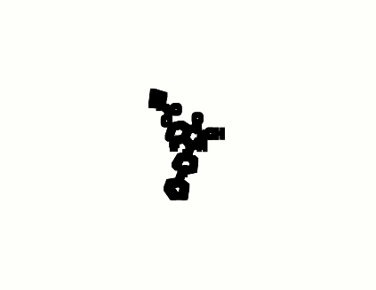 CN1CC(OC(=O)N2CCC2)CC(C(=O)NO)C1C(=O)N1CCN(c2ccccc2)CC1